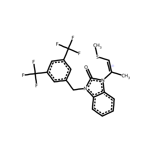 CS/C=C(/C)n1c(=O)n(Cc2cc(C(F)(F)F)cc(C(F)(F)F)c2)c2ccccc21